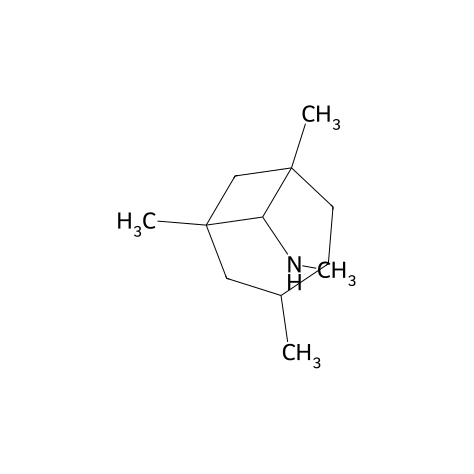 CNC1C2(C)CCC(C)CC1(C)C2